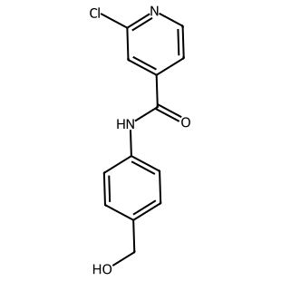 O=C(Nc1ccc(CO)cc1)c1ccnc(Cl)c1